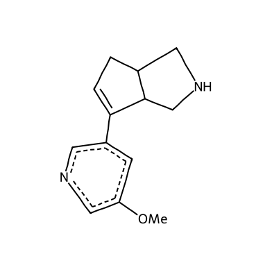 COc1cncc(C2=CCC3CNCC23)c1